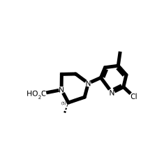 Cc1cc(Cl)nc(N2CCN(C(=O)O)[C@@H](C)C2)c1